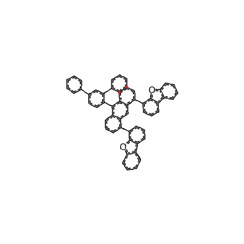 c1ccc(-c2ccc(-c3c4cccc(-c5cccc6c5oc5ccccc56)c4cc4c(-c5cccc6c5oc5ccccc56)cccc34)c(-c3ccccc3)c2)cc1